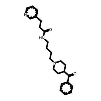 O=C(CCc1cccnc1)NCCCCN1CCC(C(=O)c2ccccc2)CC1